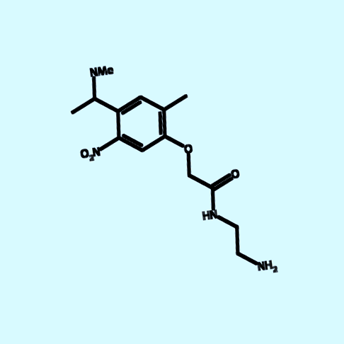 CNC(C)c1cc(C)c(OCC(=O)NCCN)cc1[N+](=O)[O-]